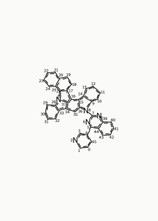 c1cncc(-c2nc(-n3c4ccccc4c4c5c6ccc7ccccc7c6n6c7ccccc7c(cc43)c56)nc3ccccc23)c1